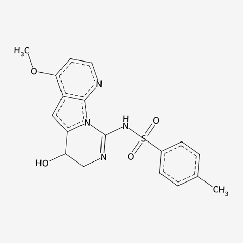 COc1ccnc2c1cc1n2C(NS(=O)(=O)c2ccc(C)cc2)=NCC1O